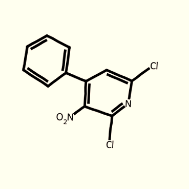 O=[N+]([O-])c1c(-c2ccccc2)cc(Cl)nc1Cl